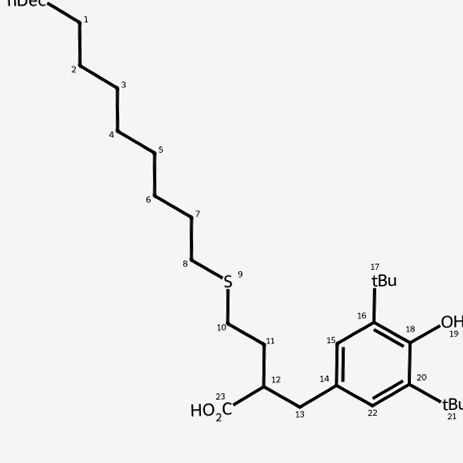 CCCCCCCCCCCCCCCCCCSCCC(Cc1cc(C(C)(C)C)c(O)c(C(C)(C)C)c1)C(=O)O